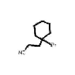 CC(C)C1(CCC#N)CCCCC1